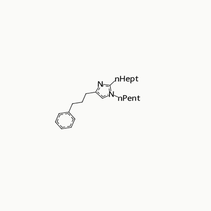 CCCCCCCc1nc(CCCc2ccccc2)cn1CCCCC